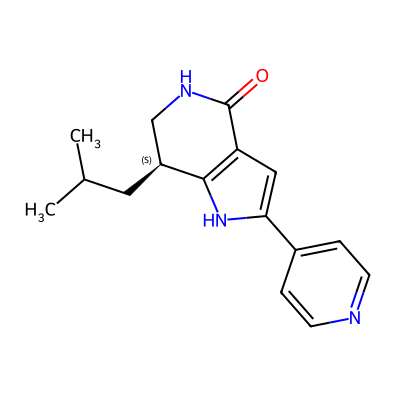 CC(C)C[C@H]1CNC(=O)c2cc(-c3ccncc3)[nH]c21